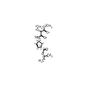 COC(=O)C(OC)C(=O)N[C@H]1C=C[C@@H](C(=O)OC(C)C)C1